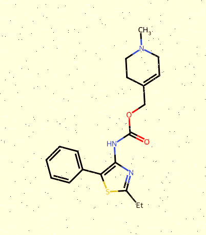 CCc1nc(NC(=O)OCC2=CCN(C)CC2)c(-c2ccccc2)s1